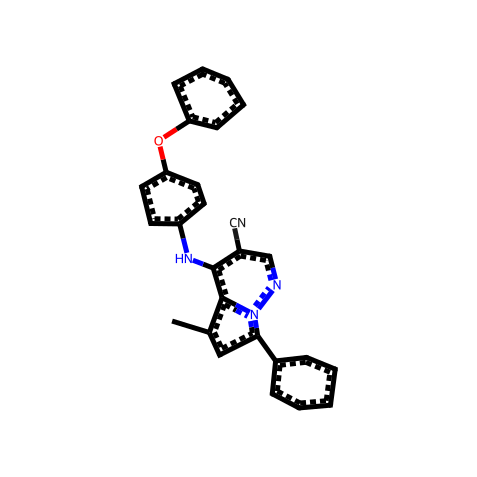 Cc1cc(-c2ccccc2)n2ncc(C#N)c(Nc3ccc(Oc4ccccc4)cc3)c12